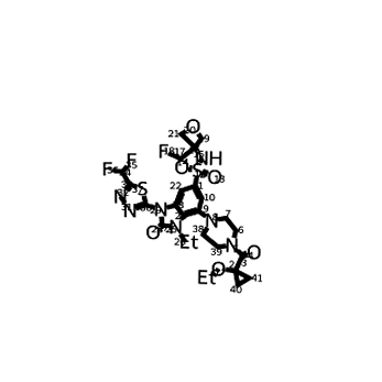 CCOC1(C(=O)N2CCN(c3cc(S(=O)(=O)NC4(CF)COC4)cc4c3n(CC)c(=O)n4-c3nnc(C(F)F)s3)CC2)CC1